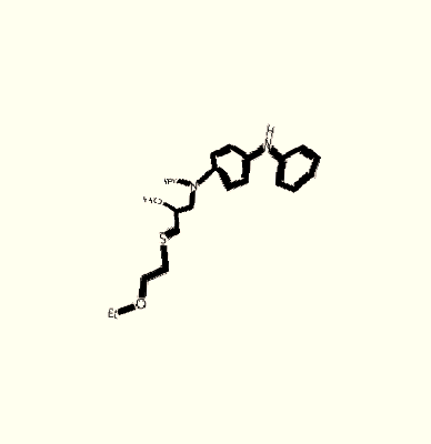 CCOCCSCC(O)CN(c1ccc(Nc2ccccc2)cc1)C(C)C